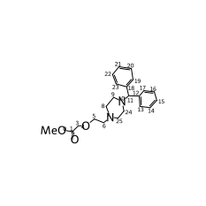 COC(=O)COCCN1CCN(C(c2ccccc2)c2ccccc2)CC1